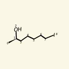 C[C@@H](O)CCCCCI